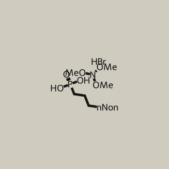 Br.CCCCCCCCCCCCP(=O)(O)O.CON(OC)OC